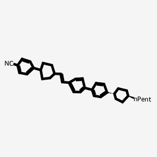 CCCCC[C@H]1CC[C@H](c2ccc(-c3ccc(C=CC4CCC(c5ccc(C#N)cc5)CC4)cc3)cc2)CC1